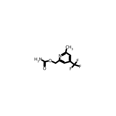 Cc1cc(C(F)(F)F)cc(COC(N)=O)n1